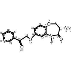 CN1C(=O)[C@@H](N)COc2ccc(OCC(=O)c3cccnc3)cc21